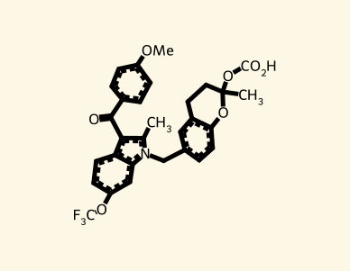 COc1ccc(C(=O)c2c(C)n(Cc3ccc4c(c3)CCC(C)(OC(=O)O)O4)c3cc(OC(F)(F)F)ccc23)cc1